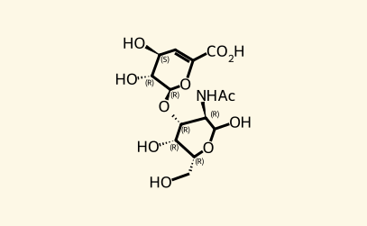 CC(=O)N[C@H]1C(O)O[C@H](CO)[C@H](O)[C@@H]1O[C@@H]1OC(C(=O)O)=C[C@H](O)[C@H]1O